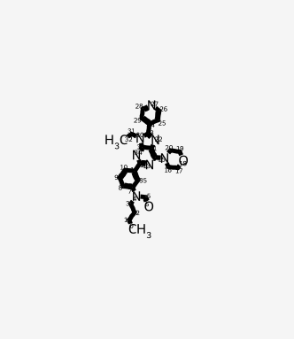 CCCCN(C=O)c1cccc(-c2nc(N3CCOCC3)c3nc(-c4ccncc4)n(CC)c3n2)c1